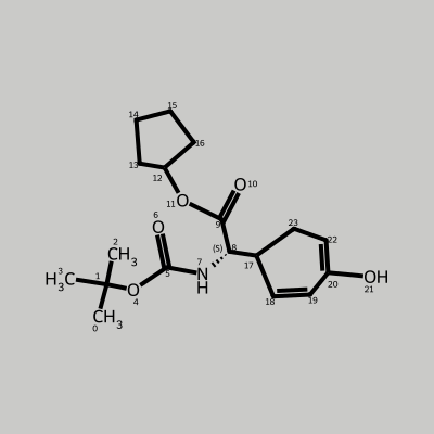 CC(C)(C)OC(=O)N[C@H](C(=O)OC1CCCC1)C1C=CC(O)=CC1